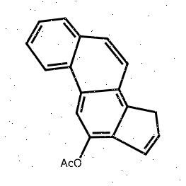 CC(=O)Oc1cc2c(ccc3ccccc32)c2c1C=CC2